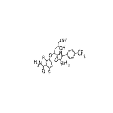 Bc1oc(C(CC(O)CO)Oc2ccc(F)c(C(N)=O)c2F)nc1-c1ccc(C(F)(F)F)cc1